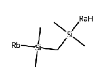 C[Si](C)([Rb])C[Si](C)(C)[RaH]